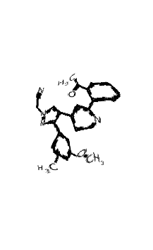 COc1cc(C)cc(-c2nn(CC#N)cc2-c2ccnc(-c3ccccc3C(C)=O)c2)c1